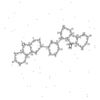 c1cc(-c2ccc3oc4ccccc4c3c2)cc(-c2cccc3c2[nH]c2ccccc23)c1